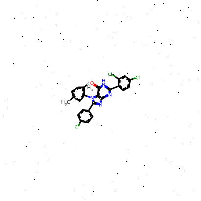 Cc1ccc(C)c(-n2c(-c3ccc(Cl)cc3)nc3nc(-c4ccc(Cl)cc4Cl)[nH]c(=O)c32)c1